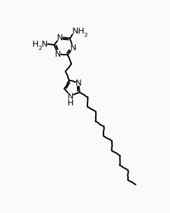 CCCCCCCCCCCCCc1nc(CCc2nc(N)nc(N)n2)c[nH]1